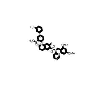 COc1ccc(CN(c2ccncn2)S(=O)(=O)c2cc3c(cc2F)N([C@H]2CC[C@H](c4cccc(C(F)(F)F)c4)C[C@@H]2N(C)C)CCC3)c(OC)c1